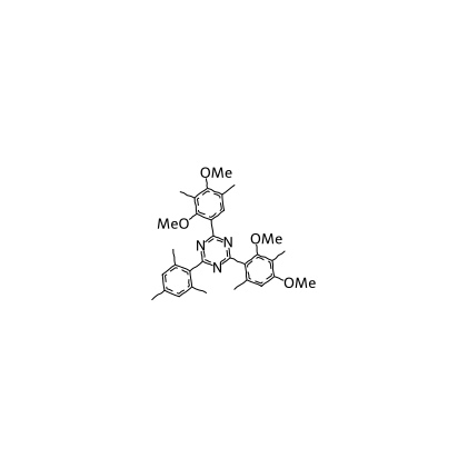 COc1cc(C)c(-c2nc(-c3cc(C)c(OC)c(C)c3OC)nc(-c3c(C)cc(C)cc3C)n2)c(OC)c1C